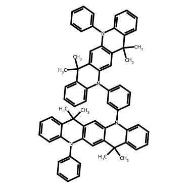 CC1(C)c2ccccc2N(c2ccccc2)c2cc3c(cc21)N(c1cccc(N2c4ccccc4C(C)(C)c4cc5c(cc42)C(C)(C)c2ccccc2N5c2ccccc2)c1)c1ccccc1C3(C)C